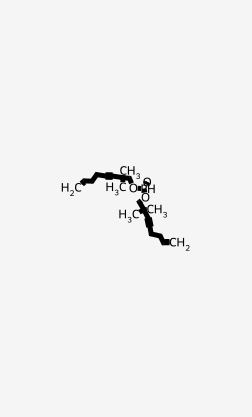 C=CCCC#CC(C)(C)CO[PH](=O)OCC(C)(C)C#CCCC=C